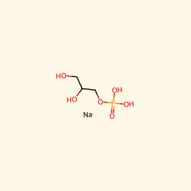 O=P(O)(O)OCC(O)CO.[Na]